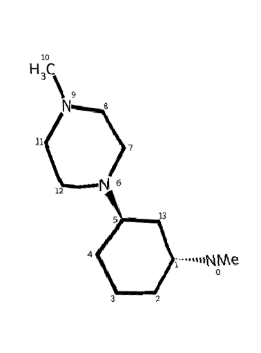 CN[C@@H]1CCC[C@@H](N2CCN(C)CC2)C1